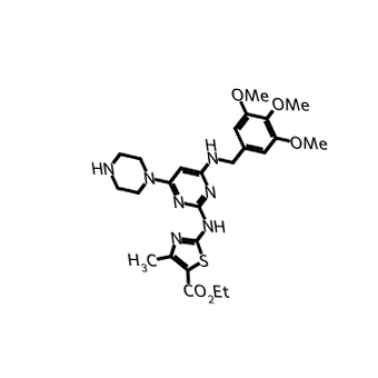 CCOC(=O)c1sc(Nc2nc(NCc3cc(OC)c(OC)c(OC)c3)cc(N3CCNCC3)n2)nc1C